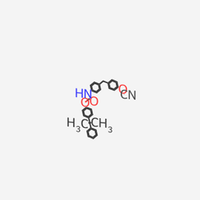 CC(C)(c1ccccc1)c1ccc(OC(=O)Nc2ccc(Cc3ccc(OC#N)cc3)cc2)cc1